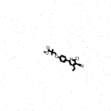 CCc1cc(-c2ccc(OCC(C)(C)C(=O)OC)cc2)nc(Cl)c1C#N